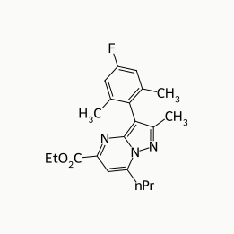 CCCc1cc(C(=O)OCC)nc2c(-c3c(C)cc(F)cc3C)c(C)nn12